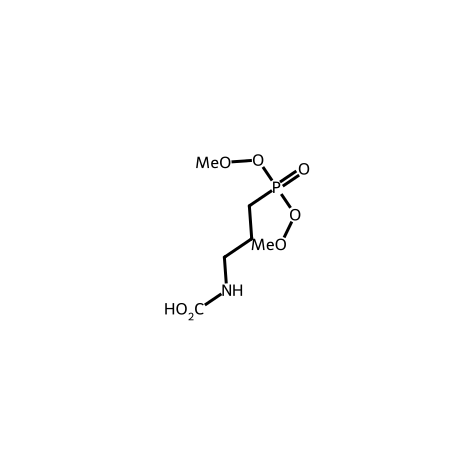 COOP(=O)(CCCNC(=O)O)OOC